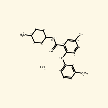 CSc1cccc(Oc2ncc(Cl)cc2C(=O)NC2CCC(N)CC2)c1.Cl